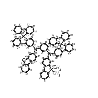 CC1(C)c2ccccc2-c2ccc(N(c3cccc(N(c4ccc5c(c4)-c4ccccc4C5(c4ccccc4)c4ccccc4)c4ccc5c(c4)oc4ccccc45)c3)c3cccc(C4(c5ccccc5)c5ccccc5-c5ccccc54)c3)cc21